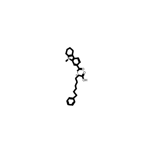 Cn1c2c(c3ccc(C(=O)C[C@@H](CCCCCCc4ccccc4)C(=O)O)cc31)CCCC2